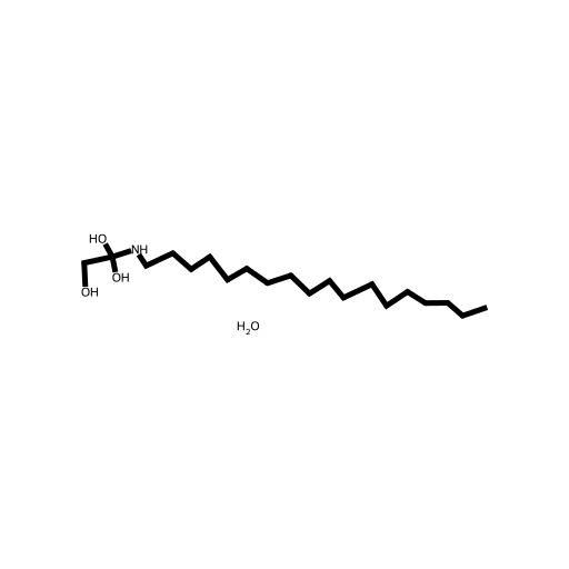 CCCCCCCCCCCCCCCCCCNC(O)(O)CO.O